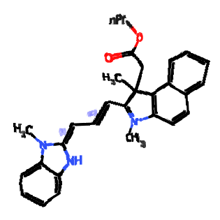 CCCOC(=O)CC1(C)C(/C=C/C=C2\Nc3ccccc3N2C)=[N+](C)c2ccc3ccccc3c21